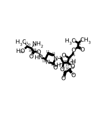 CC(C)C(=O)OCC1O[C@@H](n2ccc(NOC(=O)[C@@H](N)[C@@H](C)O)nc2=O)[C@@H]2OC(=O)C(=O)O[C@H]12